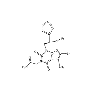 Cc1c(Br)sc2c1c(=O)n(CC(N)=O)c(=O)n2C[C@H](OC(C)C)c1ccccc1